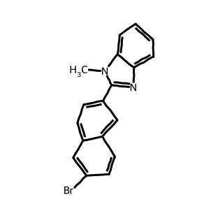 Cn1c(-c2ccc3cc(Br)ccc3c2)nc2ccccc21